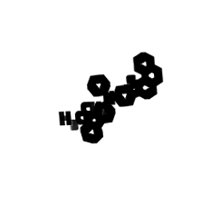 CC1(C)c2ccccc2-c2ccc(N(c3ccccc3)c3ccc4c(c3)sc3c4ccc4ccc5ccccc5c43)cc21